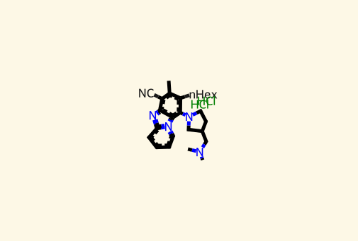 CCCCCCc1c(C)c(C#N)c2nc3ccccn3c2c1N1CCC(CN(C)C)C1.Cl.Cl